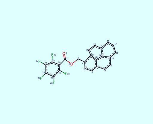 O=C(OCc1ccc2ccc3cccc4ccc1c2c34)c1c(F)c(F)c(F)c(F)c1F